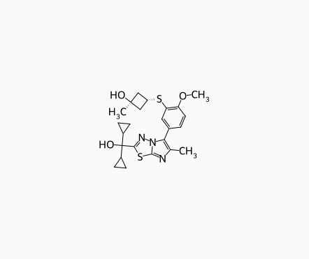 COc1ccc(-c2c(C)nc3sc(C(O)(C4CC4)C4CC4)nn23)cc1S[C@H]1C[C@](C)(O)C1